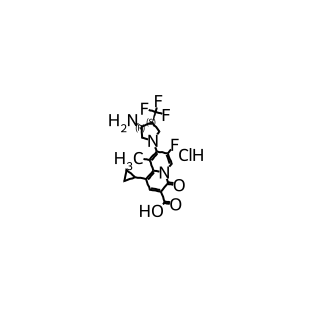 Cc1c(N2C[C@H](N)[C@@H](C(F)(F)F)C2)c(F)cn2c(=O)c(C(=O)O)cc(C3CC3)c12.Cl